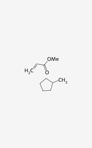 C=CC(=O)OC.CC1CCCC1